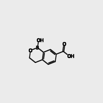 O=C(O)c1ccc2c(c1)B(O)OCC2